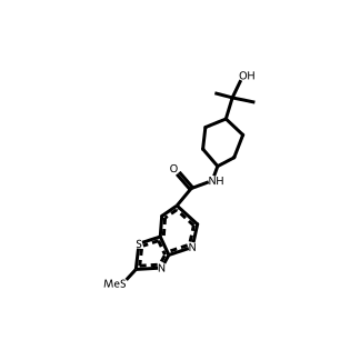 CSc1nc2ncc(C(=O)NC3CCC(C(C)(C)O)CC3)cc2s1